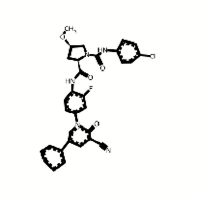 CO[C@@H]1C[C@H](C(=O)Nc2ccc(-n3cc(-c4ccccc4)cc(C#N)c3=O)cc2F)N(C(=O)Nc2ccc(Cl)cc2)C1